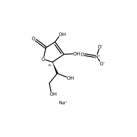 O=C1O[C@H](C(O)CO)C(O)=C1O.O=[N+]([O-])[O-].[Na+]